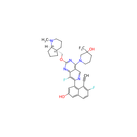 C#Cc1c(F)ccc2cc(O)cc(-c3ncc4c(N5CCCC(O)(C(F)(F)F)C5)nc(OC[C@]56CCC[C@H]5N(C)CCC6)nc4c3F)c12